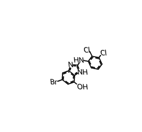 Oc1cc(Br)cc2nc(Nc3cccc(Cl)c3Cl)[nH]c12